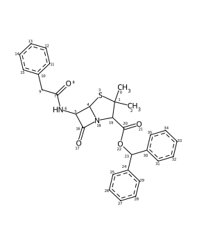 CC1(C)SC2C(NC(=O)Cc3ccccc3)C(=O)N2C1C(=O)OC(c1ccccc1)c1ccccc1